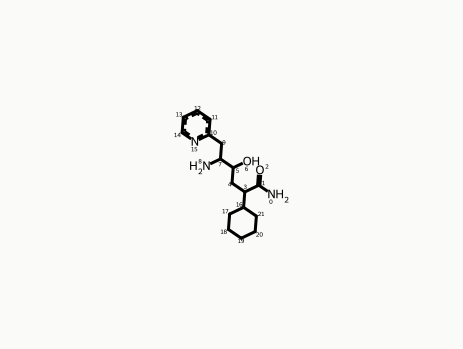 NC(=O)C(CC(O)C(N)Cc1ccccn1)C1CCCCC1